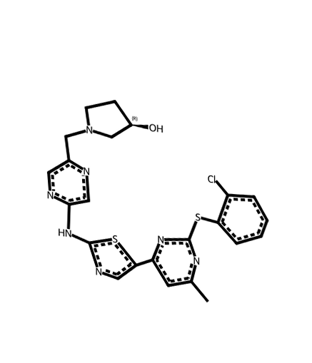 Cc1cc(-c2cnc(Nc3cnc(CN4CC[C@@H](O)C4)cn3)s2)nc(Sc2ccccc2Cl)n1